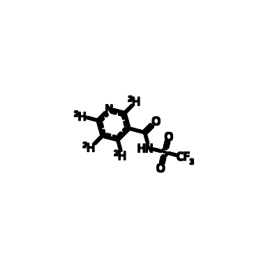 [2H]c1nc([2H])c(C(=O)NS(=O)(=O)C(F)(F)F)c([2H])c1[2H]